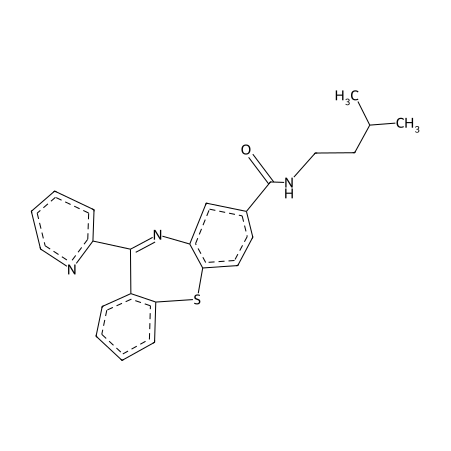 CC(C)CCNC(=O)c1ccc2c(c1)N=C(c1ccccn1)c1ccccc1S2